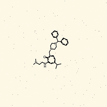 CC(C)c1ccc(CN2CCN(C(c3ccccc3)c3ccccc3)CC2)c(=O)c(NCCN(C)C)c1